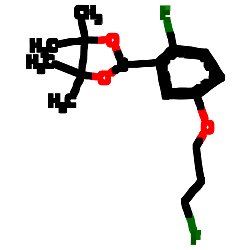 CC1(C)OB(c2cc(OCCCF)ccc2F)OC1(C)C